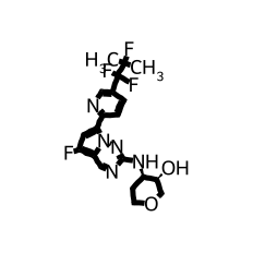 CC(C)(F)C(F)(F)c1ccc(-c2cc(F)c3cnc(N[C@@H]4CCOC[C@H]4O)nn23)nc1